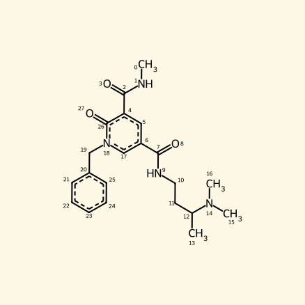 CNC(=O)c1cc(C(=O)NCCC(C)N(C)C)cn(Cc2ccccc2)c1=O